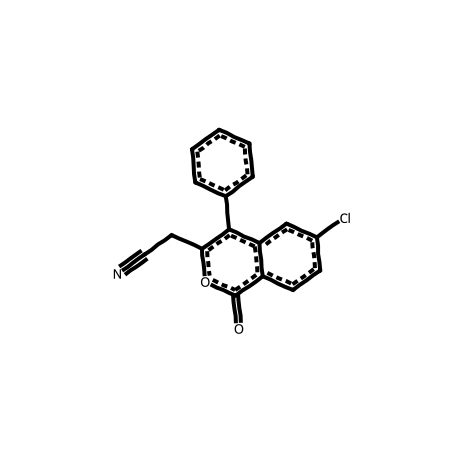 N#CCc1oc(=O)c2ccc(Cl)cc2c1-c1ccccc1